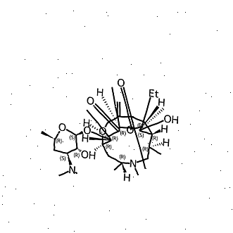 C=C1CC[C@@H]2[C@@H](C)CN(C)[C@H](C)C[C@@](C)(OC1)[C@H](O[C@@H]1O[C@H](C)C[C@H](N(C)C)[C@H]1O)[C@@H](C)C(=O)[C@@H](C)C(=O)O[C@H](CC)[C@@]2(C)O